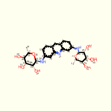 C[C@@H]1O[C@@H](Nc2ccc3cc4ccc(N[C@@H]5O[C@@H](C)[C@H](O)[C@@H](O)[C@H]5O)cc4nc3c2)[C@H](O)[C@H](O)[C@H]1O